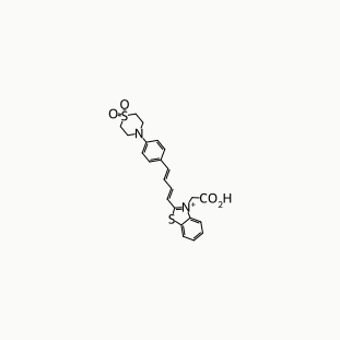 O=C(O)C[n+]1c(/C=C/C=C/c2ccc(N3CCS(=O)(=O)CC3)cc2)sc2ccccc21